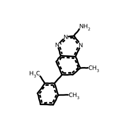 Cc1cccc(C)c1-c1cc(C)c2nc(N)nnc2c1